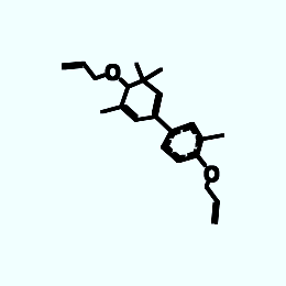 C=CCOc1ccc(C2=CC(C)(C)C(OCC=C)C(C)=C2)cc1C